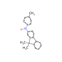 Cc1ccc(N(I)c2ccc3c(c2)C(C)(C)c2ccccc2-3)cc1